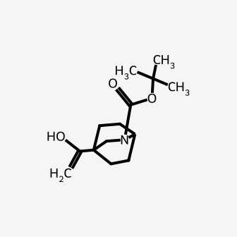 C=C(O)C12CCC(CC1)N(C(=O)OC(C)(C)C)C2